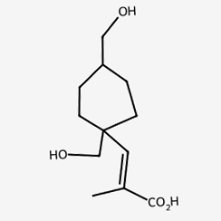 C/C(=C\C1(CO)CCC(CO)CC1)C(=O)O